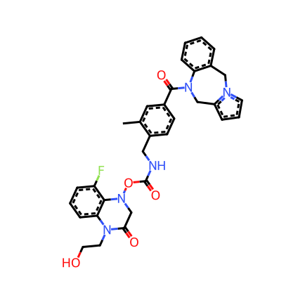 Cc1cc(C(=O)N2Cc3cccn3Cc3ccccc32)ccc1CNC(=O)ON1CC(=O)N(CCO)c2cccc(F)c21